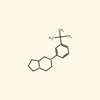 CC(C)(C)c1cccc(N2CCN3CCCC3C2)c1